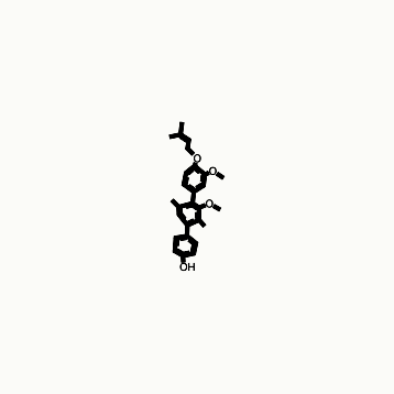 COc1cc(-c2c(C)cc(-c3ccc(O)cc3)c(C)c2OC)ccc1OCC=C(C)C